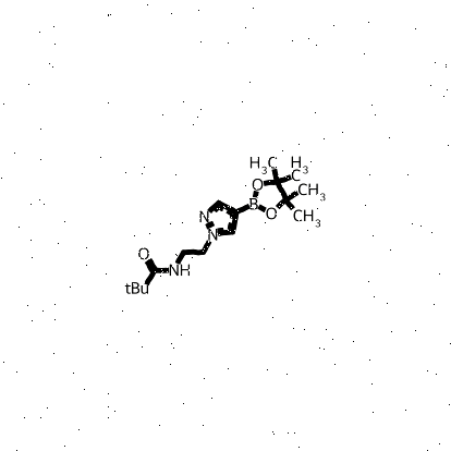 CC(C)(C)C(=O)NCCn1cc(B2OC(C)(C)C(C)(C)O2)cn1